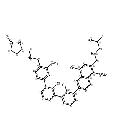 COc1nc(-c2cccc(-c3cccc(-c4ccc5c(OC)c(CNCC(C)O)cc(Cl)c5n4)c3Cl)c2Cl)ccc1CNC[C@@H]1CCC(=O)N1